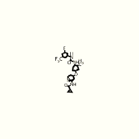 Cc1cc(Oc2ccnc(NC(=O)C3CC3)c2)ccc1NC(=O)Nc1cc(F)cc(C(F)(F)F)c1